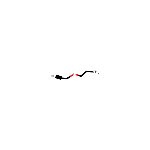 C#CCO[CH]CC